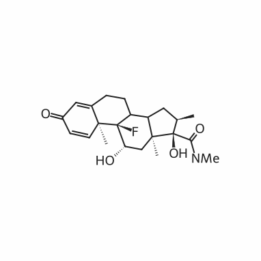 CNC(=O)[C@@]1(O)[C@H](C)CC2C3CCC4=CC(=O)C=C[C@]4(C)[C@@]3(F)[C@@H](O)C[C@@]21C